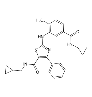 Cc1ccc(C(=O)NC2CC2)cc1Nc1nc(-c2ccccc2)c(C(=O)NCC2CC2)s1